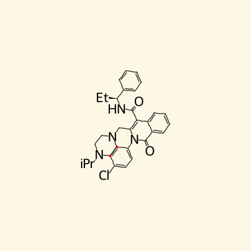 CC[C@H](NC(=O)c1c(CN2CCN(C(C)C)CC2)n(-c2ccc(Cl)cc2)c(=O)c2ccccc12)c1ccccc1